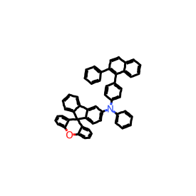 c1ccc(-c2ccc3ccccc3c2-c2ccc(N(c3ccccc3)c3ccc4c(c3)-c3ccccc3C43c4ccccc4Oc4ccccc43)cc2)cc1